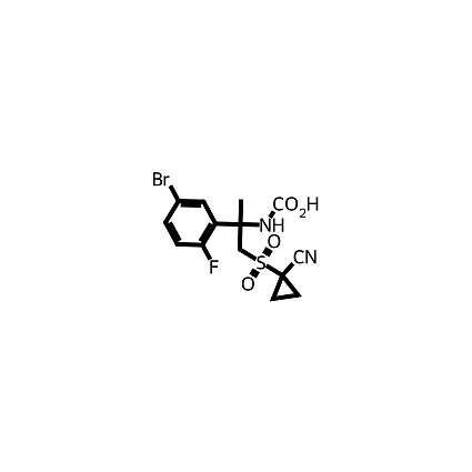 CC(CS(=O)(=O)C1(C#N)CC1)(NC(=O)O)c1cc(Br)ccc1F